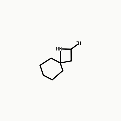 [2H]C1CC2(CCCCC2)N1